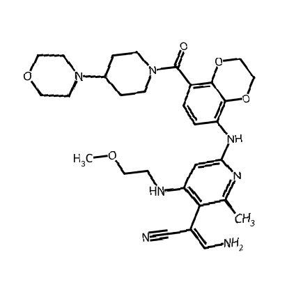 COCCNc1cc(Nc2ccc(C(=O)N3CCC(N4CCOCC4)CC3)c3c2OCCO3)nc(C)c1/C(C#N)=C\N